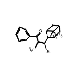 CC(C(=O)c1ccccc1)C(O)C1CCC2CC1C2(C)C